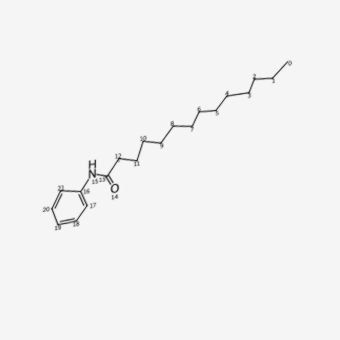 CCCCCCCCCCCC[CH]C(=O)Nc1ccccc1